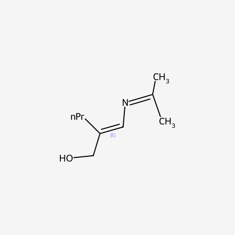 CCC/C(=C\N=C(C)C)CO